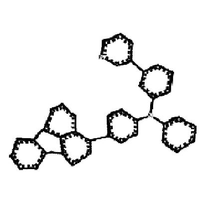 c1ccc(N(c2ccc(-c3ccc4c5c(cccc35)-c3ccccc3-4)cc2)c2cccc(-c3cccnc3)c2)cc1